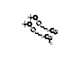 FC(F)(F)c1cccc(N2CCN(CCCCOc3ccn4nccc4c3)CC2)c1.O=Cc1cnn2ccc(OCCCCN3CCN(c4cccc(C(F)(F)F)c4)CC3)cc12